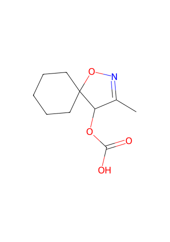 CC1=NOC2(CCCCC2)C1OC(=O)O